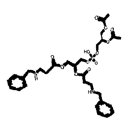 CC(=O)OC[C@H](COP(=O)(O)OCC(COC(=O)CCNCc1ccccc1)OC(=O)CCNCc1ccccc1)OC(C)=O